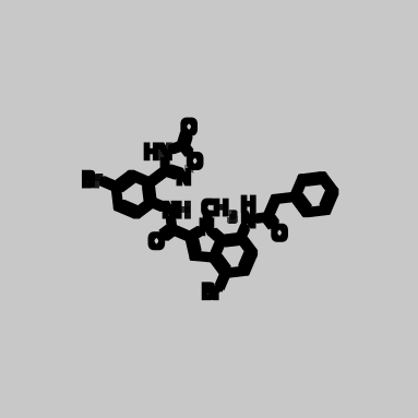 Cn1c(C(=O)Nc2ccc(Br)cc2-c2noc(=O)[nH]2)cc2c(Br)ccc(NC(=O)Cc3ccccc3)c21